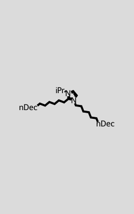 CCCCCCCCCCCCCCCCc1n(CCCCCCCCCCCCCCCC)cc[n+]1C(C)C